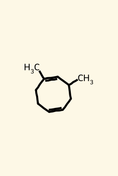 C/C1=C/C(C)C/C=C\CC1